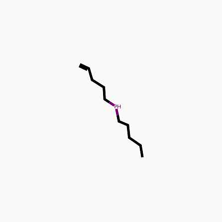 C=CCCCPCCCCC